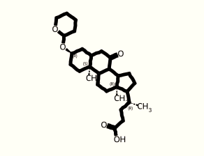 C[C@H](CCC(=O)O)C1CCC2C3C(=O)CC4C[C@H](OC5CCCCO5)CC[C@]4(C)C3CC[C@@]21C